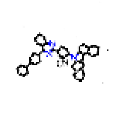 N#Cc1cc(-c2nc(-c3ccc(-c4ccccc4)cc3)c3ccccc3n2)ccc1-n1c2cc3ccccc3cc2c2c3ccccc3ccc21